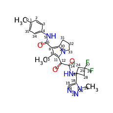 Cc1ccc(NC(=O)c2c(C)c(C(=O)C(=O)NC3(c4cnnn4C)CC(F)(F)C3)n3c2CCC3)cc1